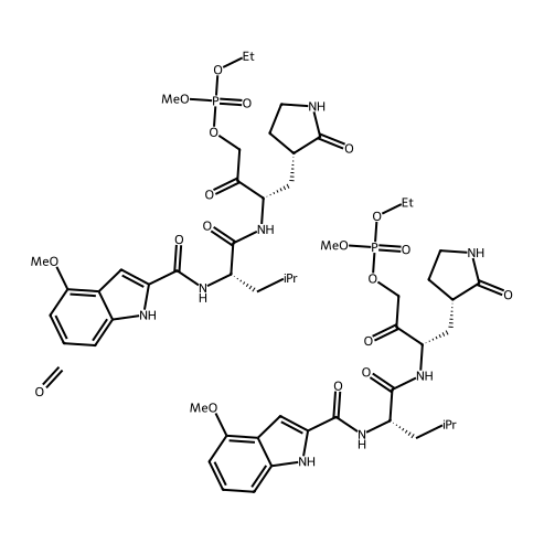 C=O.CCOP(=O)(OC)OCC(=O)[C@H](C[C@@H]1CCNC1=O)NC(=O)[C@H](CC(C)C)NC(=O)c1cc2c(OC)cccc2[nH]1.CCOP(=O)(OC)OCC(=O)[C@H](C[C@@H]1CCNC1=O)NC(=O)[C@H](CC(C)C)NC(=O)c1cc2c(OC)cccc2[nH]1